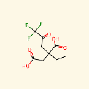 CCC(CC(=O)O)(CC(=O)C(F)(F)F)C(=O)O